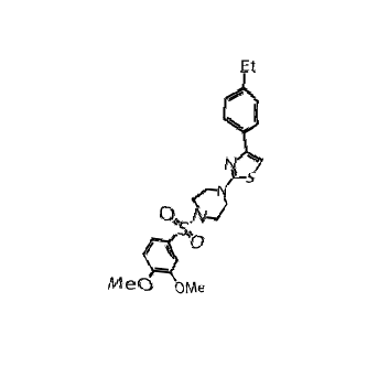 CCc1ccc(-c2csc(N3CCN(S(=O)(=O)c4ccc(OC)c(OC)c4)CC3)n2)cc1